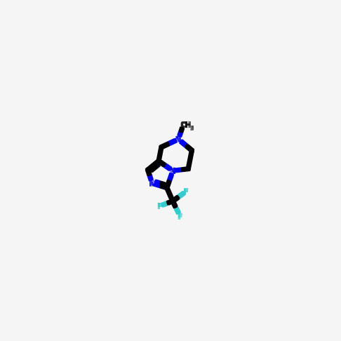 CN1CCn2c(cnc2C(F)(F)F)C1